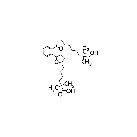 CC(C)(CO)CCCCC1CCC(c2ccccc2C2CCC(CCCCC(C)(C)C(=O)O)O2)O1